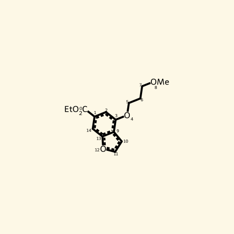 CCOC(=O)c1cc(OCCCOC)c2ccoc2c1